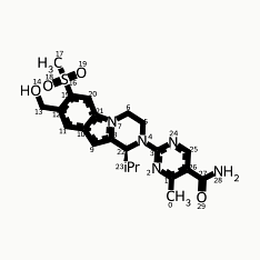 Cc1nc(N2CCn3c(cc4cc(CO)c(S(C)(=O)=O)cc43)[C@@H]2C(C)C)ncc1C(N)=O